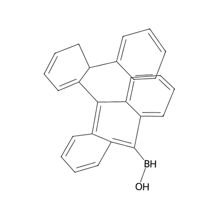 OBc1c2ccccc2c(C2=CC=CCC2c2ccccc2)c2ccccc12